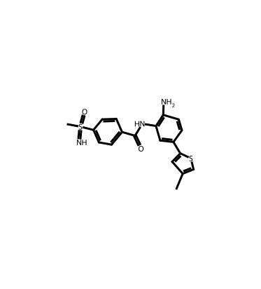 Cc1csc(-c2ccc(N)c(NC(=O)c3ccc(S(C)(=N)=O)cc3)c2)c1